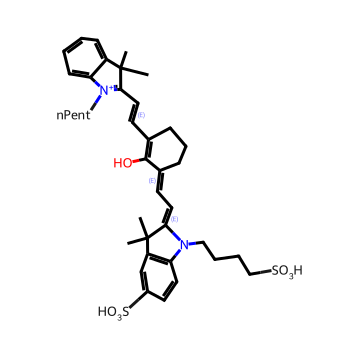 CCCCC[N+]1=C(/C=C/C2=C(O)C(=C/C=C3/N(CCCCS(=O)(=O)O)c4ccc(S(=O)(=O)O)cc4C3(C)C)/CCC2)C(C)(C)c2ccccc21